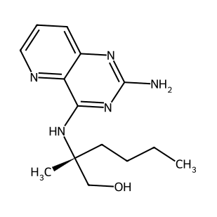 CCCC[C@](C)(CO)Nc1nc(N)nc2cccnc12